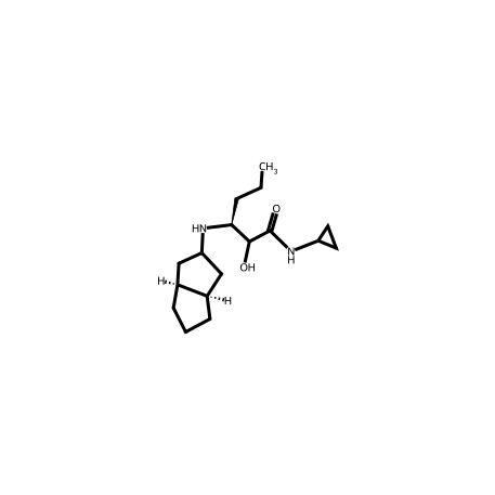 CCC[C@H](NC1C[C@H]2CCC[C@H]2C1)C(O)C(=O)NC1CC1